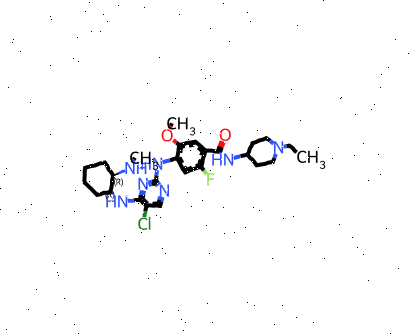 CCN1CCC(NC(=O)c2cc(OC)c(Nc3ncc(Cl)c(N[C@@H]4CCCC[C@H]4NC)n3)cc2F)CC1